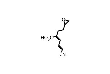 N#CC=CC=C(CCC1CO1)C(=O)O